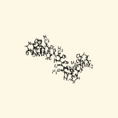 CON1C(=O)CCC(=O)[C@]1(C)C(=O)N[C@@H](C)C(=O)N1CCC[C@H]1C(=O)N[C@@H](C)C(=O)C(Cl)C(=O)C(Cl)C(=O)[C@H](C)NC(=O)[C@@H]1CCCN1C(=O)[C@H](C)NC(=O)[C@@]1(C)C(=O)CCC(=O)N1OC